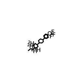 [2H]C1([2H])CC(C2CCC(c3ccc(OC(F)(F)F)cc3)CC2)CC([2H])([2H])C1CCC